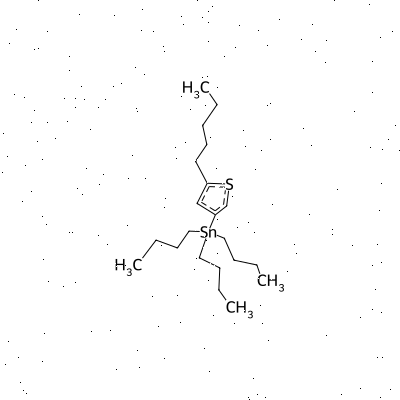 CCCCCc1c[c]([Sn]([CH2]CCC)([CH2]CCC)[CH2]CCC)cs1